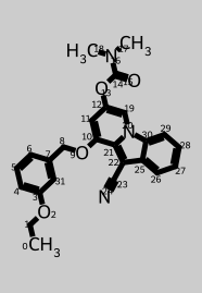 CCOc1cccc(COc2cc(OC(=O)N(C)C)cn3c2c(C#N)c2ccccc23)c1